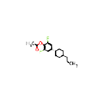 CCC[C@H]1CC[C@H](c2cc(F)c(OC(C)=O)c(F)c2)CC1